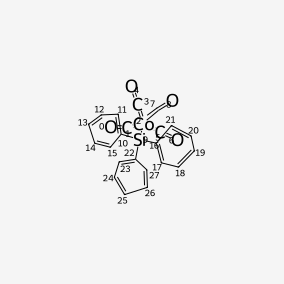 O=[C]=[Co](=[C]=O)(=[C]=O)(=[C]=O)[Si](c1ccccc1)(c1ccccc1)c1ccccc1